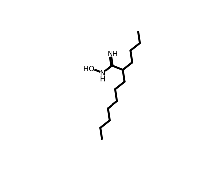 CCCCCCCC(CCCC)C(=N)NO